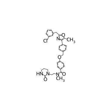 Cc1oc(Cc2cccc(Cl)c2)nc1-c1ccc(COc2ccc(C(=O)N(C)CCN3CCCNC3=O)cc2)cc1